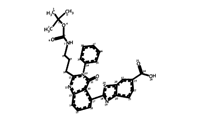 CC(C)(C)OC(=O)NCCCc1nc2cccc(-c3nc4ccc(C(=O)O)cc4s3)c2c(=O)n1-c1ccccc1